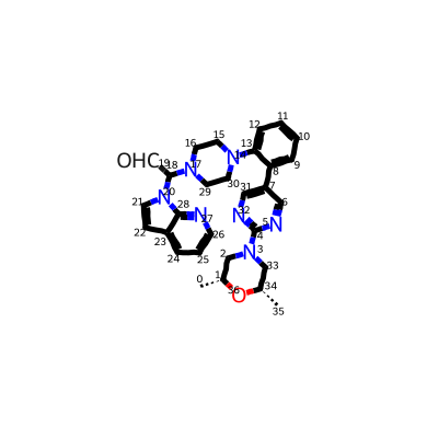 C[C@@H]1CN(c2ncc(-c3ccccc3N3CCN(C(C=O)n4ccc5cccnc54)CC3)cn2)C[C@H](C)O1